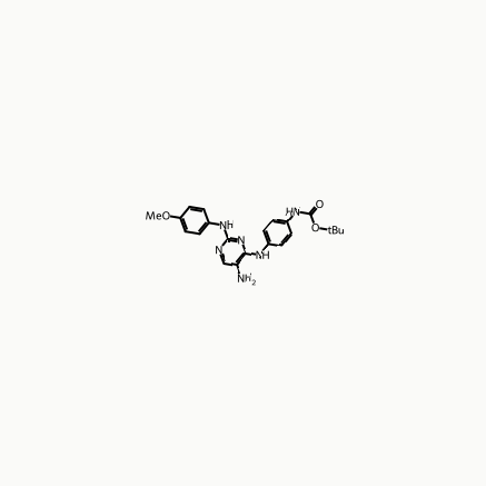 COc1ccc(Nc2ncc(N)c(Nc3ccc(NC(=O)OC(C)(C)C)cc3)n2)cc1